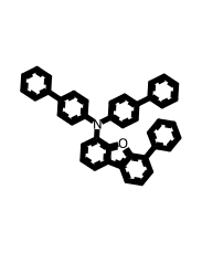 c1ccc(-c2ccc(N(c3ccc(-c4ccccc4)cc3)c3cccc4c3oc3c(-c5ccccc5)cccc34)cc2)cc1